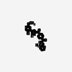 COc1cc(-c2cc(C(=O)N3CCC(C(=O)NCC4(C)OCCO4)CC3)n[nH]2)c(Cl)cn1